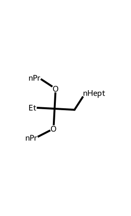 CCCCCCCCC(CC)(OCCC)OCCC